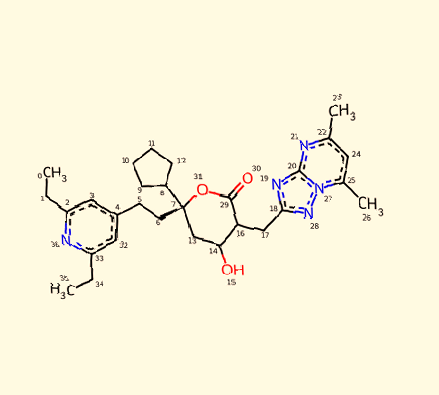 CCc1cc(CC[C@]2(C3CCCC3)CC(O)C(Cc3nc4nc(C)cc(C)n4n3)C(=O)O2)cc(CC)n1